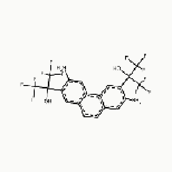 Nc1cc2c(ccc3cc(N)c(C(O)(C(F)(F)F)C(F)(F)F)cc32)cc1C(O)(C(F)(F)F)C(F)(F)F